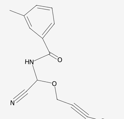 Cc1cccc(C(=O)NC(C#N)OCC#CBr)c1